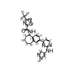 Cn1cc(Nc2nccc(-c3ccc4c(c3)CCCC[C@H]4NC(=O)c3nc(C(C)(C)C)no3)n2)cn1